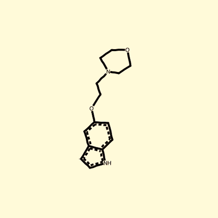 [c]1c[nH]c2ccc(OCCN3CCOCC3)cc12